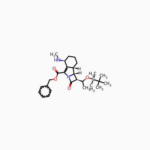 CN[C@H]1CCC[C@H]2C1=C(C(=O)OCc1ccccc1)N1C(=O)[C@H](C(C)O[Si](C)(C)C(C)(C)C)[C@@H]21